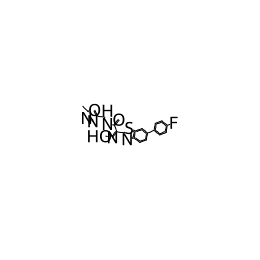 Cc1nnc(CNC(=O)C(=NO)c2nc3ccc(-c4ccc(F)cc4)cc3s2)o1